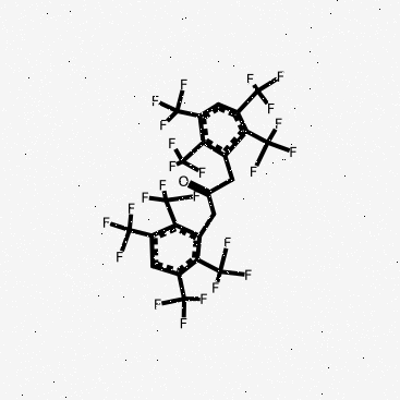 O=C(Cc1c(C(F)(F)F)c(C(F)(F)F)cc(C(F)(F)F)c1C(F)(F)F)Cc1c(C(F)(F)F)c(C(F)(F)F)cc(C(F)(F)F)c1C(F)(F)F